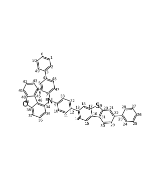 c1ccc(-c2ccc(N(c3ccc(-c4ccc5c(c4)sc4cc(-c6ccccc6)ccc45)cc3)c3cccc4oc5ccccc5c34)cc2)cc1